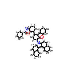 c1ccc(-c2nc3cccc(-c4ccc(-n5c6ccc7ccccc7c6c6c7ccccc7ccc65)c5oc6ccccc6c45)c3o2)cc1